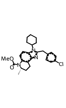 COC(=O)N1c2ccc3c(nc(Cc4ccc(Cl)cc4)n3C3CCCCC3)c2CC[C@@H]1C